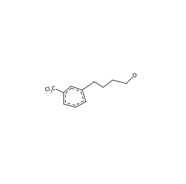 [O]CCCCc1cccc(C(Cl)(Cl)Cl)c1